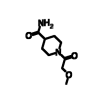 COCC(=O)N1CCC(C(N)=O)CC1